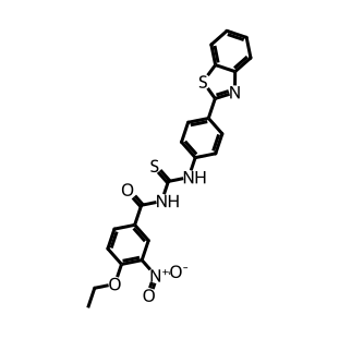 CCOc1ccc(C(=O)NC(=S)Nc2ccc(-c3nc4ccccc4s3)cc2)cc1[N+](=O)[O-]